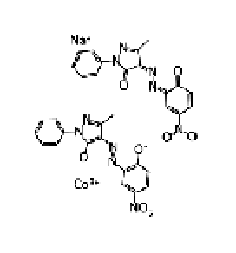 CC1=NN(c2ccccc2)C(=O)C1=NN=C1C=C(N([O-])[O-])C=CC1=O.Cc1nn(-c2ccccc2)c([O-])c1N=Nc1cc([N+](=O)[O-])ccc1[O-].[Co+3].[Na+]